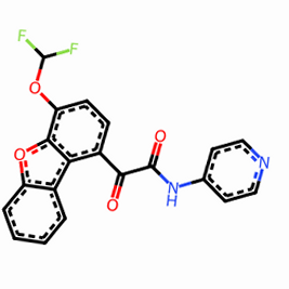 O=C(Nc1ccncc1)C(=O)c1ccc(OC(F)F)c2oc3ccccc3c12